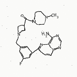 CN1CCN(C(=O)C2CN(Cc3cc(F)cc(-c4ccc5ncnc(N)c5n4)c3)C2)CC1